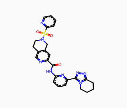 O=C(Nc1cccc(-c2nnc3n2CCCC3)n1)c1cc2c(cn1)CCN(S(=O)(=O)c1ccccn1)C2